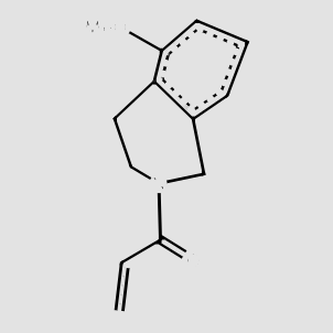 C=CC(=O)N1CCc2c(cccc2OC)C1